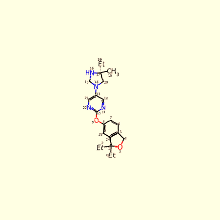 CCC1(CC)OCc2ccc(Oc3ncc(N4CN[C@](C)(CC)C4)cn3)cc21